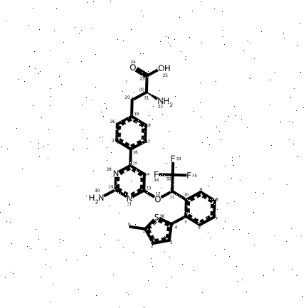 Cc1ccc(-c2ccccc2C(Oc2cc(-c3ccc(C[C@H](N)C(=O)O)cc3)nc(N)n2)C(F)(F)F)s1